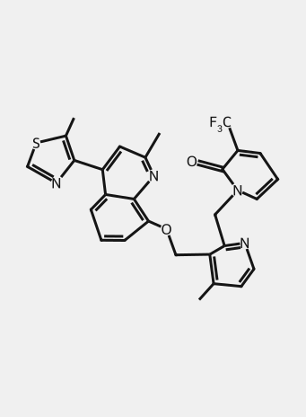 Cc1cc(-c2ncsc2C)c2cccc(OCc3c(C)ccnc3Cn3cccc(C(F)(F)F)c3=O)c2n1